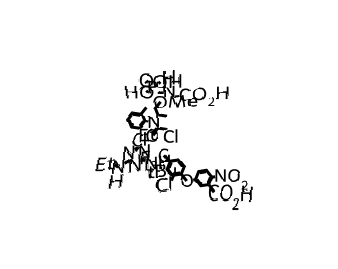 CCNc1nc(Cl)nc(NC(C)(C)C)n1.CCc1cccc(C)c1N(C(=O)CCl)C(C)COC.O=C(O)CNCP(=O)(O)O.O=C(O)c1cc(Oc2ccc(C(F)(F)F)cc2Cl)ccc1[N+](=O)[O-]